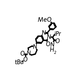 COc1cccc(-c2nc3ccc(N4CCCN(C(=O)OC(C)(C)C)CC4)cc3c(=O)n2C(C(N)=O)C(C)C)c1